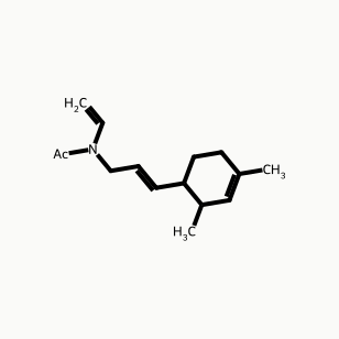 C=CN(C/C=C/C1CCC(C)=CC1C)C(C)=O